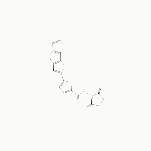 O=C(ON1C(=O)CCC1=O)c1ccc(-c2cc3sc4ccsc4c3s2)s1